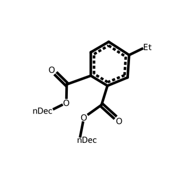 CCCCCCCCCCOC(=O)c1ccc(CC)cc1C(=O)OCCCCCCCCCC